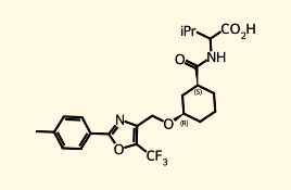 Cc1ccc(-c2nc(CO[C@@H]3CCC[C@H](C(=O)NC(C(=O)O)C(C)C)C3)c(C(F)(F)F)o2)cc1